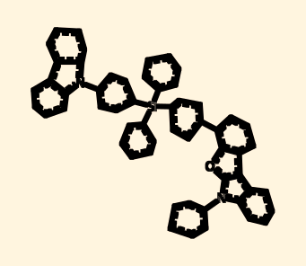 c1ccc(-n2c3ccccc3c3c4cccc(-c5ccc([Si](c6ccccc6)(c6ccccc6)c6ccc(-n7c8ccccc8c8ccccc87)cc6)cc5)c4oc32)cc1